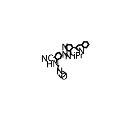 CC(C)c1nn(-c2ccc(C#N)c(NCCN3CCOCC3)c2)c2nccc(-c3cnc4ccccc4c3)c12